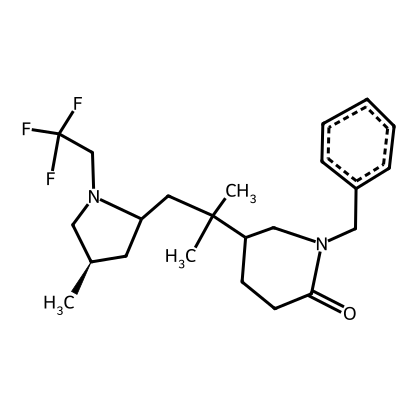 C[C@@H]1CC(CC(C)(C)C2CCC(=O)N(Cc3ccccc3)C2)N(CC(F)(F)F)C1